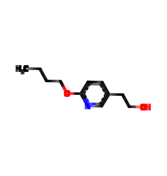 CCCCOc1ccc(CCO)cn1